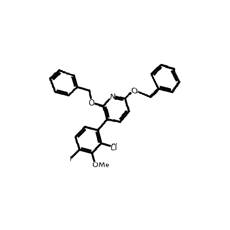 COc1c(I)ccc(-c2ccc(OCc3ccccc3)nc2OCc2ccccc2)c1Cl